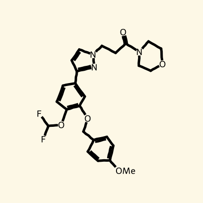 COc1ccc(COc2cc(-c3ccn(CCC(=O)N4CCOCC4)n3)ccc2OC(F)F)cc1